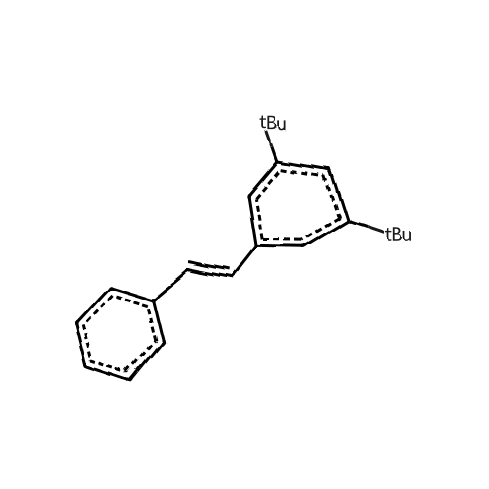 CC(C)(C)c1cc(C=Cc2ccccc2)cc(C(C)(C)C)c1